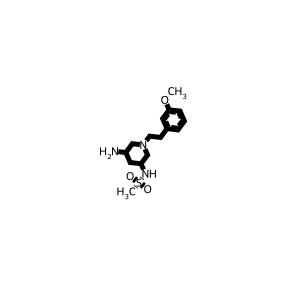 COc1cccc(CCN2CC(N)CC(NS(C)(=O)=O)C2)c1